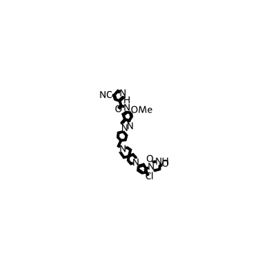 COc1cc2nn(C3CCC(CN4CCC5(CC4)CCN(c4ccc(Cl)c(N6CCC(=O)NC6=O)c4)CC5)CC3)cc2cc1NC(=O)c1cncc(C#N)c1